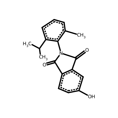 Cc1cccc(C(C)C)c1N1C(=O)c2ccc(O)cc2C1=O